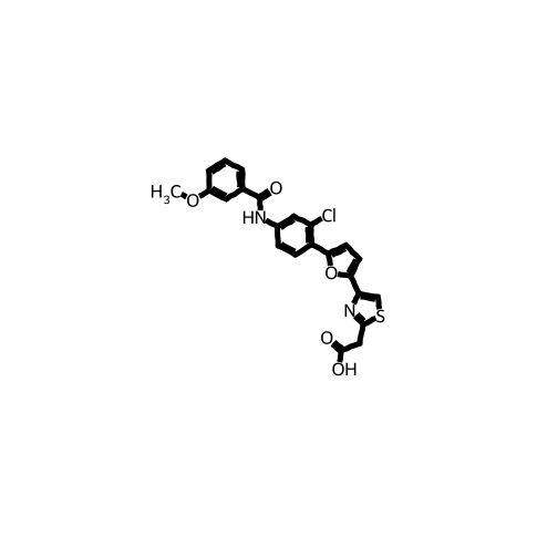 COc1cccc(C(=O)Nc2ccc(-c3ccc(-c4csc(CC(=O)O)n4)o3)c(Cl)c2)c1